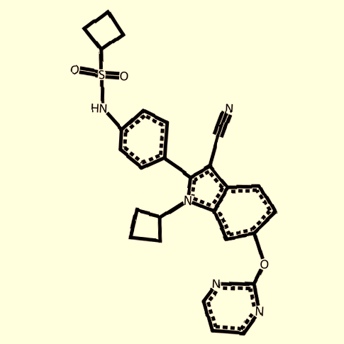 N#Cc1c(-c2ccc(NS(=O)(=O)C3CCC3)cc2)n(C2CCC2)c2cc(Oc3ncccn3)ccc12